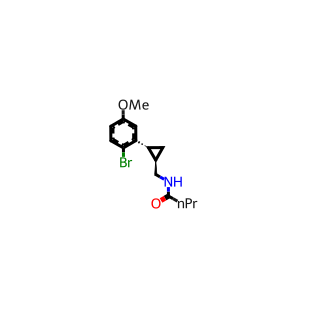 CCCC(=O)NC[C@@H]1C[C@H]1c1cc(OC)ccc1Br